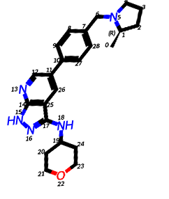 C[C@@H]1CCCN1Cc1ccc(-c2cnc3[nH]nc(NC4CCOCC4)c3c2)cc1